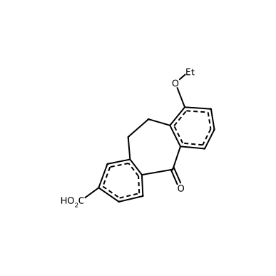 CCOc1cccc2c1CCc1cc(C(=O)O)ccc1C2=O